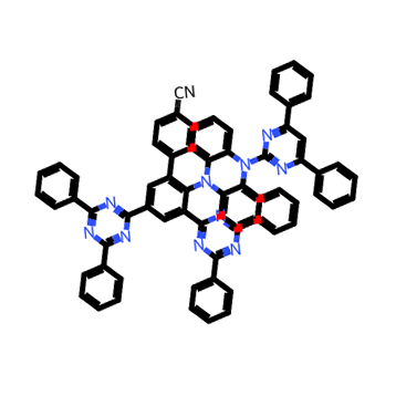 N#Cc1ccc(-c2cc(-c3nc(-c4ccccc4)nc(-c4ccccc4)n3)cc(-c3nc(-c4ccccc4)nc(-c4ccccc4)n3)c2N2c3ccccc3N(c3nc(-c4ccccc4)cc(-c4ccccc4)n3)c3ccccc32)cc1